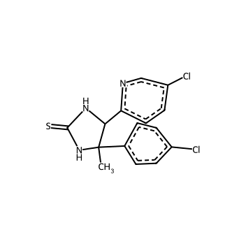 CC1(c2ccc(Cl)cc2)NC(=S)NC1c1ccc(Cl)cn1